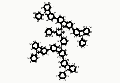 c1ccc(-c2cc(-c3cccc(-n4c5ccc(-c6ccc7c(c6)c6ccccc6n7-c6ccccc6)cc5c5cc(-c6ccc7c(c6)c6ccccc6n7-c6ccccc6)ccc54)c3)nc(-n3c4cc(-c5ccc6c(c5)c5ccccc5n6-c5ccccc5)ccc4c4ccc(-c5ccc6c(c5)c5ccccc5n6-c5ccccc5)cc43)n2)cc1